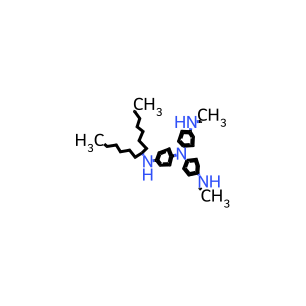 CCCCCCCC(CCCCCC)Nc1ccc(N(c2ccc(NCC)cc2)c2ccc(NCC)cc2)cc1